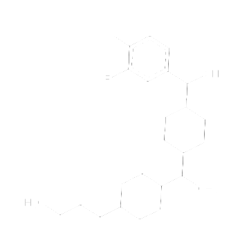 CCCCC1CCC(C(C)C2CCC(C(C)c3ccc(F)c(F)c3)CC2)CC1